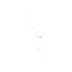 CC(=O)N1CCC2(CCN(c3cnc(Sc4ccnc(N5CCOCC5)c4Cl)cn3)CC2)C(N)C1